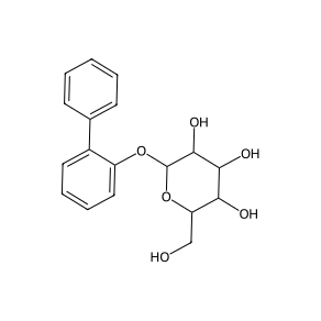 OCC1OC(Oc2ccccc2-c2ccccc2)C(O)C(O)C1O